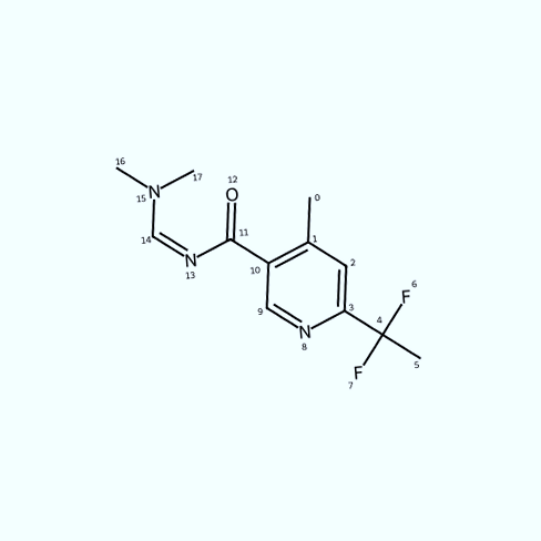 Cc1cc(C(C)(F)F)ncc1C(=O)/N=C\N(C)C